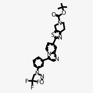 CC(C)(C)OC(=O)N1CCc2nc(-c3ccn4c(-c5cccc(N(CC(F)(F)F)N=O)c5)cnc4c3)sc2C1